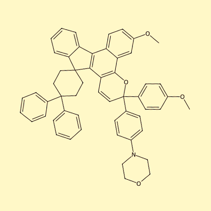 COc1ccc(C2(c3ccc(N4CCOCC4)cc3)C=Cc3c4c(c5ccc(OC)cc5c3O2)-c2ccccc2C42CCC(c3ccccc3)(c3ccccc3)CC2)cc1